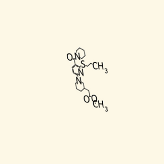 CCCSc1nc(N2CCCC(CC(=O)OC)C2)ccc1C(=O)N1CCCCC1